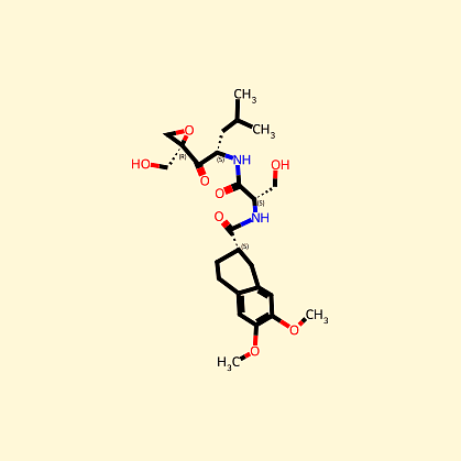 COc1cc2c(cc1OC)C[C@@H](C(=O)N[C@@H](CO)C(=O)N[C@@H](CC(C)C)C(=O)[C@@]1(CO)CO1)CC2